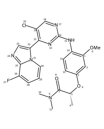 COc1cc(O[C@H](C)C(=O)N(C)C)ccc1Nc1ncc(Cl)c(-c2cnc3c(F)cccn23)n1